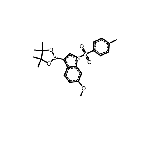 COc1ccc2c(B3OC(C)(C)C(C)(C)O3)cn(S(=O)(=O)c3ccc(C)cc3)c2c1